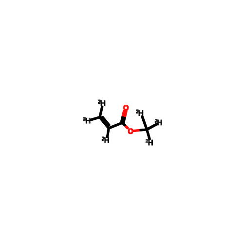 [2H]C([2H])=C([2H])C(=O)OC([2H])([2H])[2H]